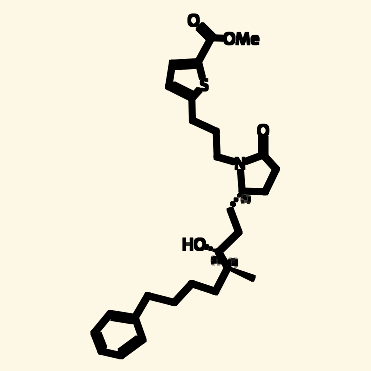 COC(=O)c1ccc(CCCN2C(=O)CC[C@@H]2CC[C@@H](O)[C@@H](C)CCCCc2ccccc2)s1